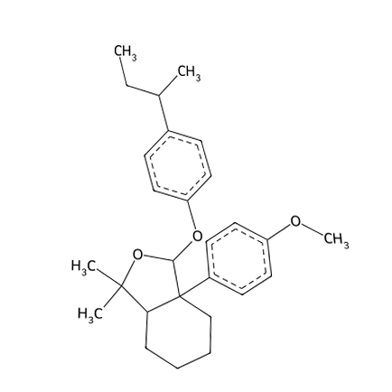 CCC(C)c1ccc(OC2OC(C)(C)C3CCCCC23c2ccc(OC)cc2)cc1